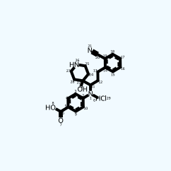 CN(c1ccc(C(=O)O)cc1)C(CCc1ccccc1C#N)C1(O)CCNCC1.Cl